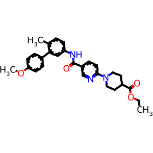 CCOC(=O)C1CCN(c2ccc(C(=O)Nc3ccc(C)c(-c4ccc(OC)cc4)c3)cn2)CC1